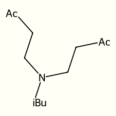 CCC(C)N(CCC(C)=O)CCC(C)=O